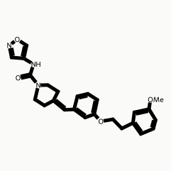 COc1cccc(CCOc2cccc(C=C3CCN(C(=O)Nc4cnoc4)CC3)c2)c1